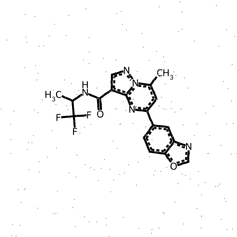 Cc1cc(-c2ccc3ocnc3c2)nc2c(C(=O)NC(C)C(F)(F)F)cnn12